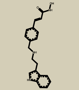 O=C(C=Cc1ccc(CNCCc2c[nH]c3ccccc23)cc1)NO